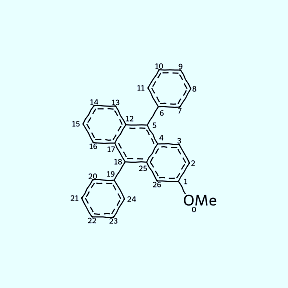 COc1ccc2c(-c3ccccc3)c3ccccc3c(-c3ccccc3)c2c1